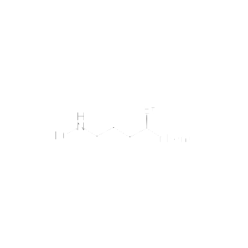 CCCCCC(CC)CCCNCC